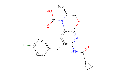 C[C@H]1COc2nc(NC(=O)C3CC3)c(Cc3ccc(F)cc3)cc2N1C(=O)O